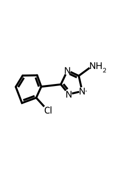 NC1=NC(c2ccccc2Cl)=N[N]1